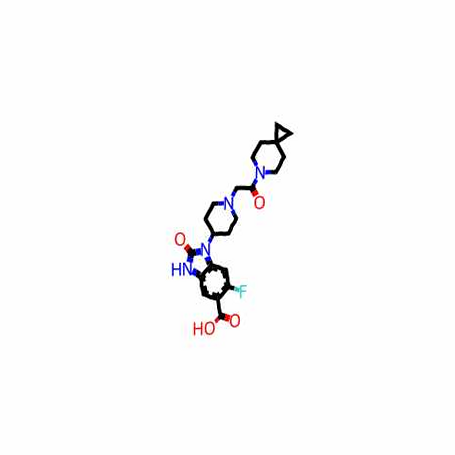 O=C(O)c1cc2[nH]c(=O)n(C3CCN(CC(=O)N4CCC5(CC4)CC5)CC3)c2cc1F